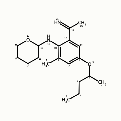 CCCC(C)Oc1cc(C)c(NC2CCCCO2)c(C(C)=N)c1